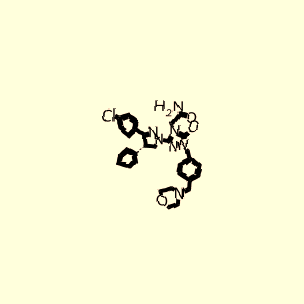 NC(=O)Cn1c(N2C[C@H](c3ccccc3)C(c3ccc(Cl)cc3)=N2)nn(Cc2ccc(CN3CCOCC3)cc2)c1=O